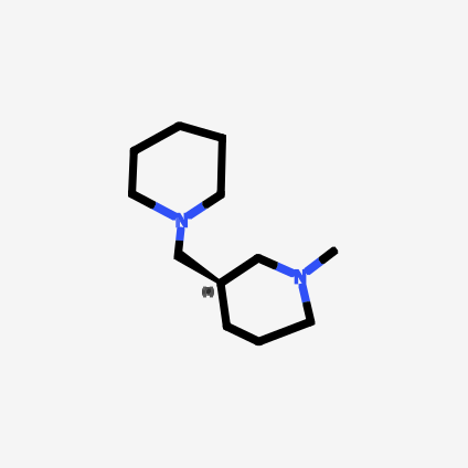 CN1CCC[C@@H](CN2CCCCC2)C1